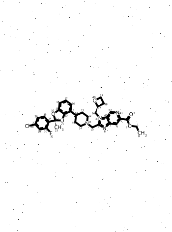 CCOC(=O)c1cc2nc(CN3CCC(c4cccc5c4O[C@@](C)(c4ccc(Cl)cc4F)O5)CC3)n(C[C@@H]3CCO3)c2cn1